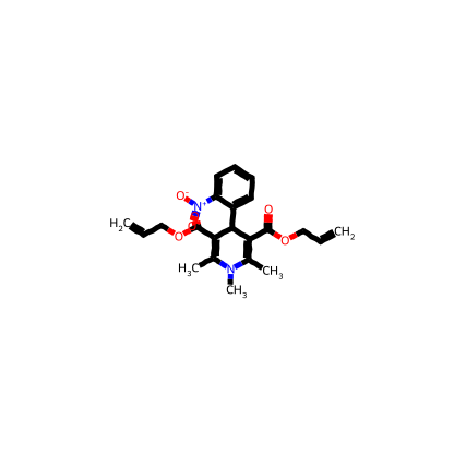 C=CCOC(=O)C1=C(C)N(C)C(C)=C(C(=O)OCC=C)C1c1ccccc1[N+](=O)[O-]